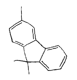 CC1(C)c2ccccc2-c2cc(I)ccc21